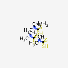 CN(C)C(=S)S.CN(C)C(=S)S.CN(C)C(=S)S.[AsH3]